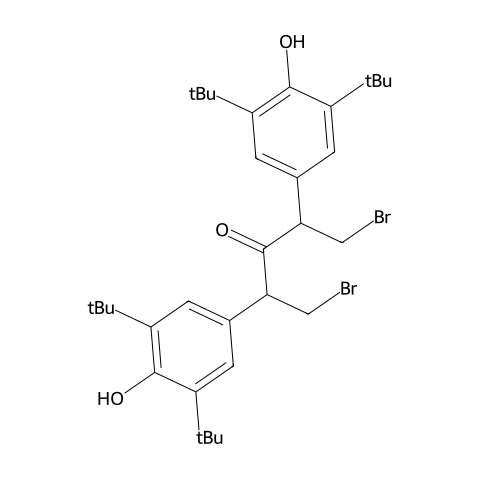 CC(C)(C)c1cc(C(CBr)C(=O)C(CBr)c2cc(C(C)(C)C)c(O)c(C(C)(C)C)c2)cc(C(C)(C)C)c1O